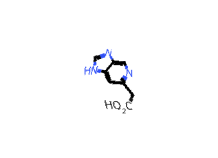 O=C(O)Cc1cc2[nH]cnc2cn1